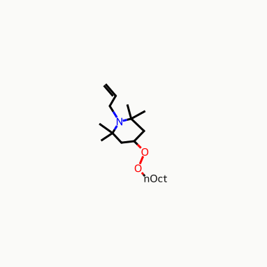 C=CCN1C(C)(C)CC(OOCCCCCCCC)CC1(C)C